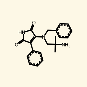 CC(C)(N)CN(Cc1ccccc1)C1=C(c2ccccc2)C(=O)NC1=O